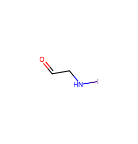 O=CCNI